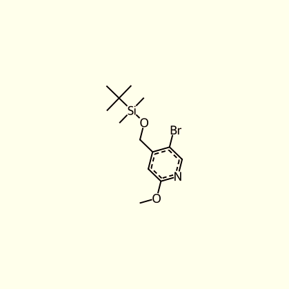 COc1cc(CO[Si](C)(C)C(C)(C)C)c(Br)cn1